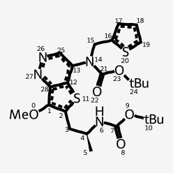 COc1c(C[C@H](C)NC(=O)OC(C)(C)C)sc2c(N(Cc3cccs3)C(=O)OC(C)(C)C)cnnc12